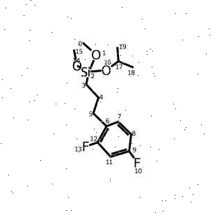 CO[Si](CCCc1ccc(F)cc1F)(OC)OC(C)C